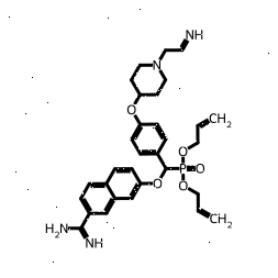 C=CCOP(=O)(OCC=C)C(Oc1ccc2ccc(C(=N)N)cc2c1)c1ccc(OC2CCN(CC=N)CC2)cc1